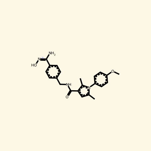 COc1ccc(-n2c(C)cc(C(=O)NCc3ccc(/C(N)=N\O)cc3)c2C)cc1